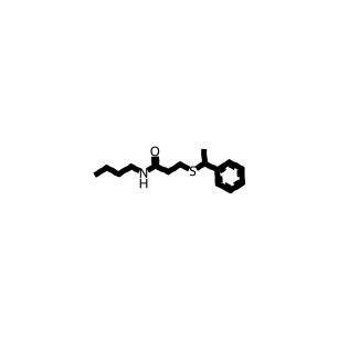 CCCCNC(=O)CCSC(C)c1ccccc1